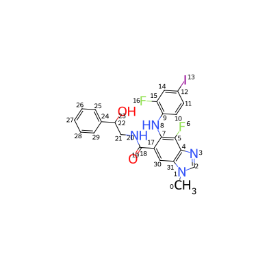 Cn1cnc2c(F)c(Nc3ccc(I)cc3F)c(C(=O)NCC(O)c3ccccc3)cc21